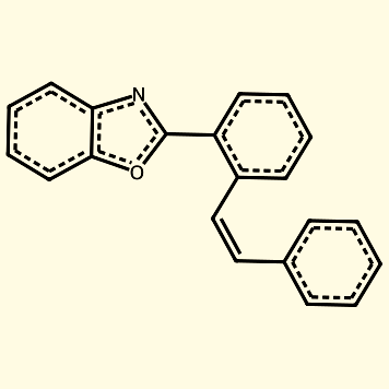 C(=C/c1ccccc1-c1nc2ccccc2o1)/c1ccccc1